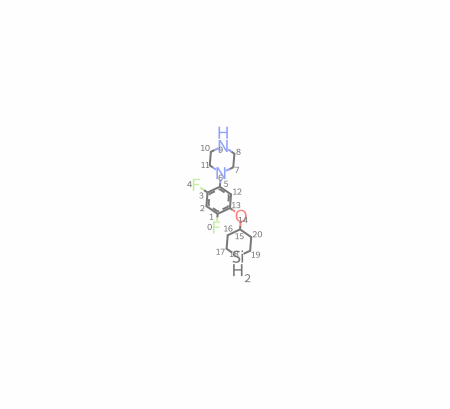 Fc1cc(F)c(N2CCNCC2)cc1OC1CC[SiH2]CC1